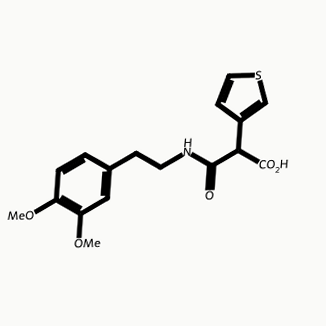 COc1ccc(CCNC(=O)C(C(=O)O)c2ccsc2)cc1OC